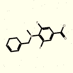 CN(CC1=CC=CCC1)c1c(F)cc(C(=O)Cl)cc1F